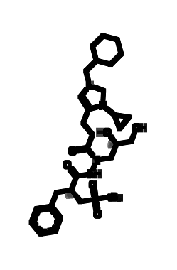 CC(C)(C)S(=O)(=O)C[C@@H](Cc1ccccc1)C(=O)NN(C[C@@H](O)CO)C(=O)CCC1=CN(CC2CCCCC2)CN1C1CC1